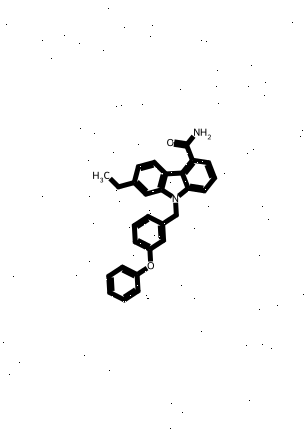 CCc1c[c]c2c3c(C(N)=O)cccc3n(Cc3cccc(Oc4ccccc4)c3)c2c1